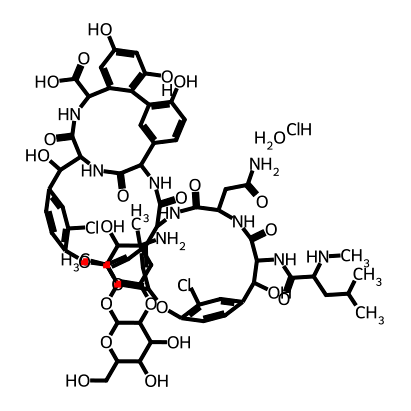 CNC(CC(C)C)C(=O)NC1C(=O)NC(CC(N)=O)C(=O)NC2C(=O)NC3C(=O)NC(C(=O)NC(C(=O)O)c4cc(O)cc(O)c4-c4cc3ccc4O)C(O)c3ccc(c(Cl)c3)Oc3cc2cc(c3OC2OC(CO)C(O)C(O)C2OC2CC(C)(N)C(O)C(C)O2)Oc2ccc(cc2Cl)C1O.Cl.O